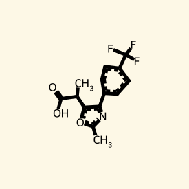 Cc1nc(-c2ccc(C(F)(F)F)cc2)c(C(C)C(=O)O)o1